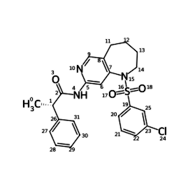 C[C@H](C(=O)Nc1cc2c(cn1)CCCCN2S(=O)(=O)c1cccc(Cl)c1)c1ccccc1